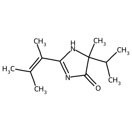 CC(C)=C(C)C1=NC(=O)C(C)(C(C)C)N1